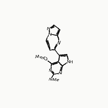 CNc1nc(OC)c2c(-c3ccn4nccc4n3)c[nH]c2n1